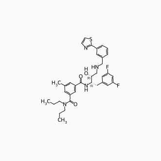 CCCN(CCC)C(=O)c1cc(C)cc(C(=O)N[C@@H](Cc2cc(F)cc(F)c2)[C@H](O)CNCc2cccc(-c3nccs3)c2)c1